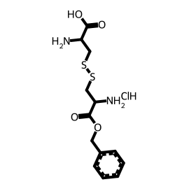 Cl.NC(CSSCC(N)C(=O)OCc1ccccc1)C(=O)O